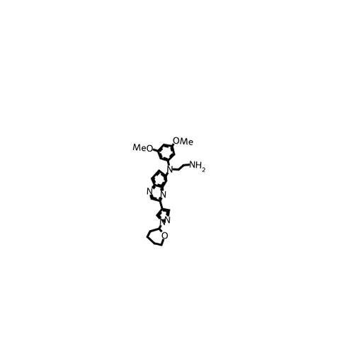 COc1cc(OC)cc(N(CCN)c2ccc3ncc(-c4cnn(C5CCCCO5)c4)nc3c2)c1